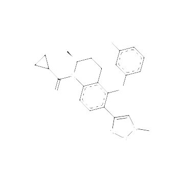 C[C@H]1CCc2c(ccc(C3=CN(C)NN3)c2Oc2cccc(F)c2)N1C(=O)C1CC1